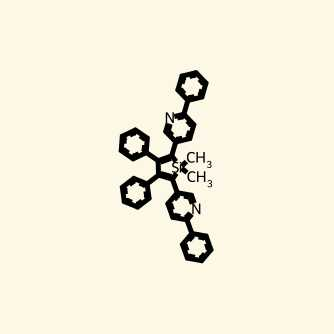 C[Si]1(C)C(c2ccc(-c3ccccc3)nc2)=C(c2ccccc2)C(c2ccccc2)=C1c1ccc(-c2ccccc2)nc1